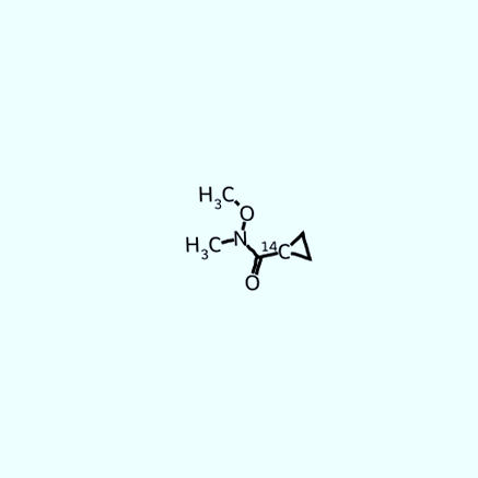 CON(C)C(=O)[14CH]1CC1